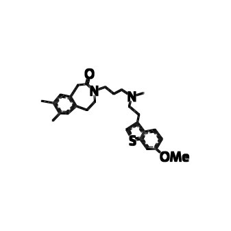 COc1ccc2c(CCN(C)CCCN3CCc4cc(C)c(C)cc4CC3=O)csc2c1